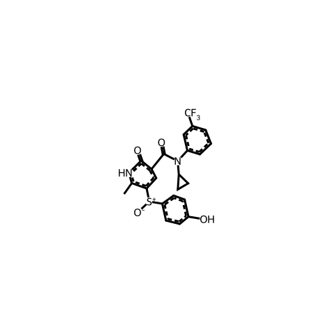 Cc1[nH]c(=O)c(C(=O)N(c2cccc(C(F)(F)F)c2)C2CC2)cc1[S+]([O-])c1ccc(O)cc1